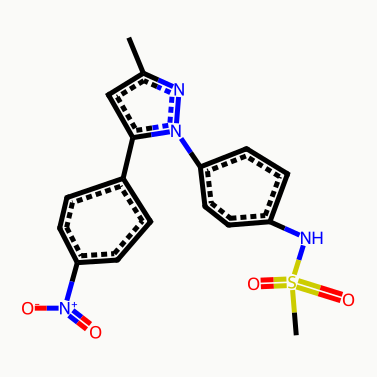 Cc1cc(-c2ccc([N+](=O)[O-])cc2)n(-c2ccc(NS(C)(=O)=O)cc2)n1